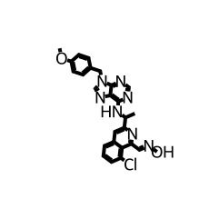 COc1ccc(Cn2cnc3c(NC(C)c4cc5cccc(Cl)c5c(C=NO)n4)ncnc32)cc1